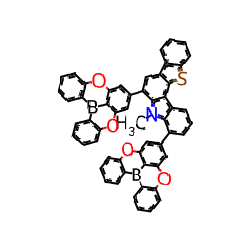 Cn1c2c(-c3cc4c5c(c3)Oc3ccccc3B5c3ccccc3O4)cccc2c2c3sc4ccccc4c3cc(-c3cc4c5c(c3)Oc3ccccc3B5c3ccccc3O4)c21